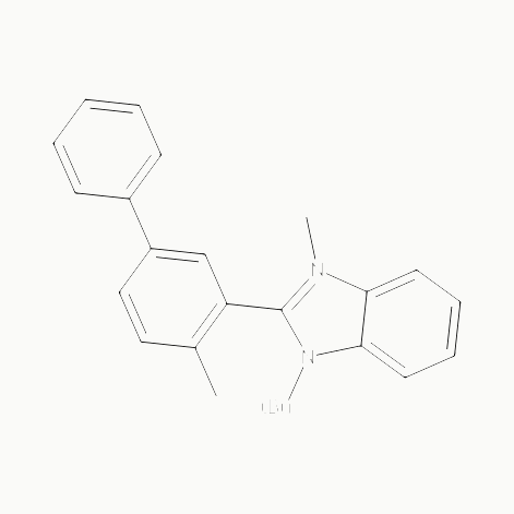 Cc1ccc(-c2ccccc2)cc1-c1n(C(C)(C)C)c2ccccc2[n+]1C